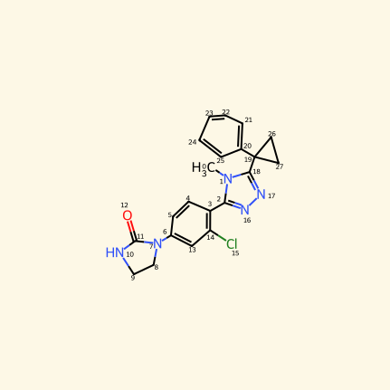 Cn1c(-c2ccc(N3CCNC3=O)cc2Cl)nnc1C1(c2ccccc2)CC1